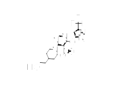 Cn1nc(C(F)(F)F)cc1Oc1ncnc(N2CCC(CCO)CC2)c1[N+](=O)[O-]